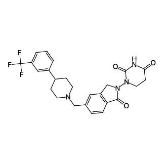 O=C1CCN(N2Cc3cc(CN4CCC(c5cccc(C(F)(F)F)c5)CC4)ccc3C2=O)C(=O)N1